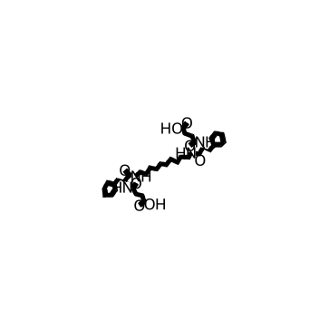 O=C(O)CCC(=O)N[C@@H](Cc1ccccc1)C(=O)NCCCCCCCCCCNC(=O)[C@H](Cc1ccccc1)NC(=O)CCC(=O)O